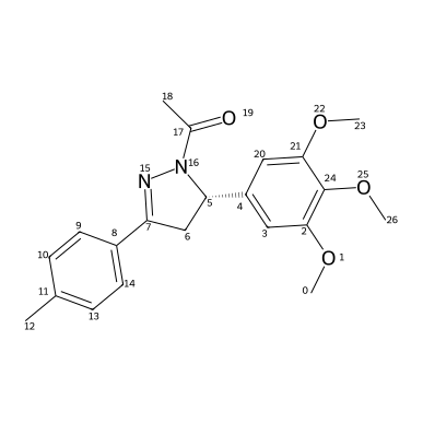 COc1cc([C@@H]2CC(c3ccc(C)cc3)=NN2C(C)=O)cc(OC)c1OC